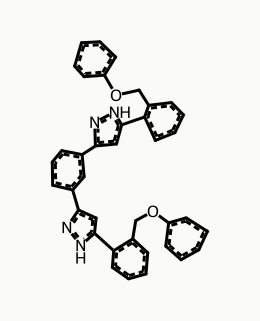 c1ccc(OCc2ccccc2-c2cc(-c3cccc(-c4cc(-c5ccccc5COc5ccccc5)[nH]n4)c3)n[nH]2)cc1